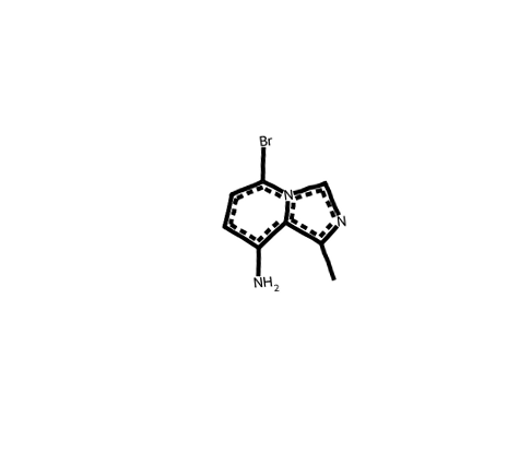 Cc1ncn2c(Br)ccc(N)c12